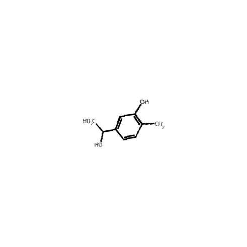 Cc1ccc(C(O)C(=O)O)cc1O